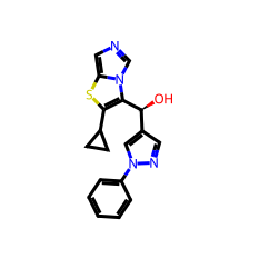 O[C@@H](c1cnn(-c2ccccc2)c1)c1c(C2CC2)sc2cncn12